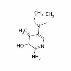 C=C1C(N(CC)CC)=CN=C(N)C1O